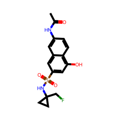 CC(=O)Nc1ccc2c(O)cc(S(=O)(=O)NC3(CF)CC3)cc2c1